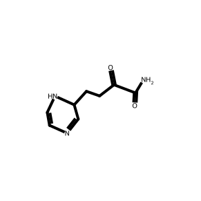 NC(=O)C(=O)CCC1C=NC=CN1